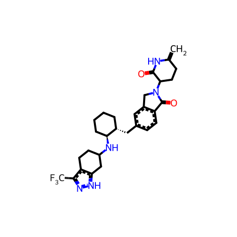 C=C1CCC(N2Cc3cc(C[C@H]4CCCC[C@@H]4NC4CCc5c(C(F)(F)F)n[nH]c5C4)ccc3C2=O)C(=O)N1